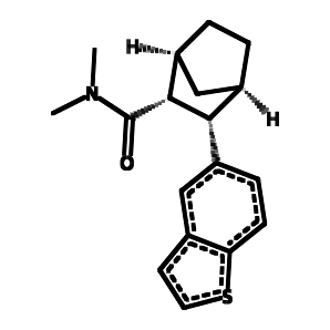 CN(C)C(=O)[C@@H]1[C@H]2CC[C@H](C2)[C@@H]1c1ccc2sccc2c1